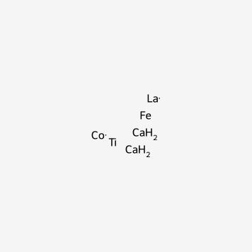 [CaH2].[CaH2].[Co].[Fe].[La].[Ti]